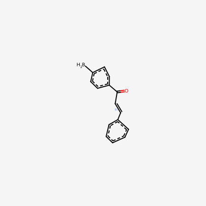 Bc1ccc(C(=O)/C=C/c2ccccc2)cc1